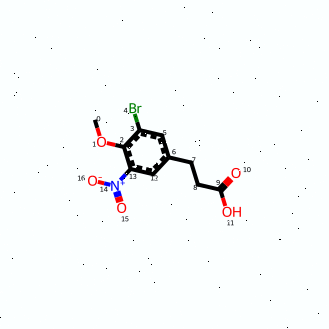 COc1c(Br)cc(CCC(=O)O)cc1[N+](=O)[O-]